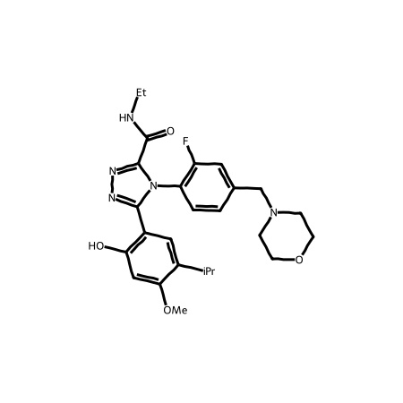 CCNC(=O)c1nnc(-c2cc(C(C)C)c(OC)cc2O)n1-c1ccc(CN2CCOCC2)cc1F